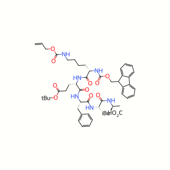 C=CCOC(=O)NCCCC[C@H](NC(=O)OCC1c2ccccc2-c2ccccc21)C(=O)N[C@@H](CCC(=O)OC(C)(C)C)C(=O)N[C@@H](Cc1ccccc1)C(=O)N[C@H](C(=O)N[C@@H](C)C(=O)O)[C@@H](C)CC